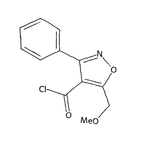 COCc1onc(-c2ccccc2)c1C(=O)Cl